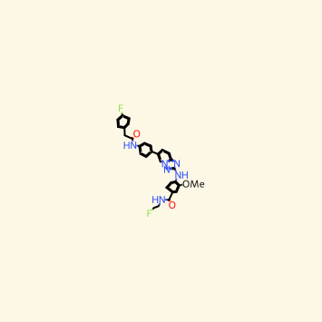 COc1cc(C(=O)NCCF)ccc1Nc1nc2ccc(-c3ccc(NC(=O)Cc4ccc(F)cc4)cc3)cn2n1